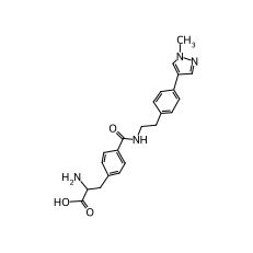 Cn1cc(-c2ccc(CCNC(=O)c3ccc(CC(N)C(=O)O)cc3)cc2)cn1